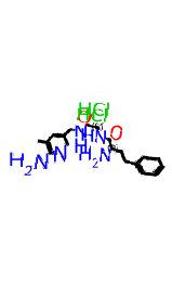 Cc1cc(CNC(=O)[C@H](C)NC(=O)[C@H](N)CCc2ccccc2)cnc1N.Cl.Cl